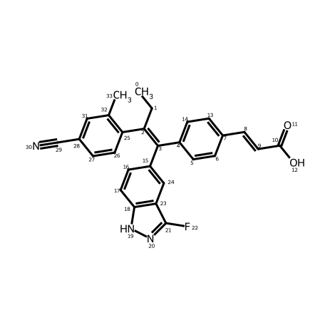 CCC(=C(c1ccc(C=CC(=O)O)cc1)c1ccc2[nH]nc(F)c2c1)c1ccc(C#N)cc1C